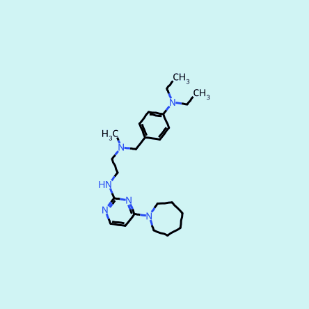 CCN(CC)c1ccc(CN(C)CCNc2nccc(N3CCCCCC3)n2)cc1